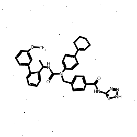 CC(NC(=O)N(Cc1ccc(C(=O)Nc2nn[nH]n2)cc1)c1ccc(C2=CCCCC2)cc1)c1ccccc1-c1cccc(OC(F)(F)F)c1